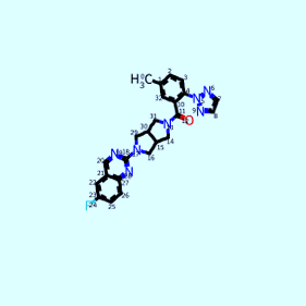 Cc1ccc(-n2nccn2)c(C(=O)N2CC3CN(c4ncc5cc(F)ccc5n4)CC3C2)c1